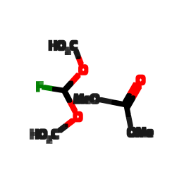 COC(=O)OC.O=C(O)OC(F)OC(=O)O